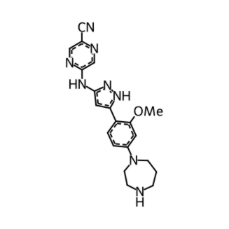 COc1cc(N2CCCNCC2)ccc1-c1cc(Nc2cnc(C#N)cn2)n[nH]1